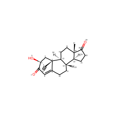 C#C[C@]12C[C@H](O)C(=O)C=C1CC[C@@H]1[C@@H]2CC[C@]2(C)C(=O)CC[C@@H]12